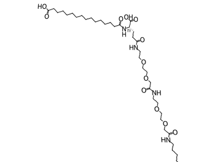 CCCCCNC(=O)COCCOCCNC(=O)COCCOCCNC(=O)CC[C@H](NC(=O)CCCCCCCCCCCCCCC(=O)O)C(=O)O